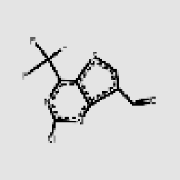 O=Cc1csc2c(C(F)(F)F)nc(Cl)nc12